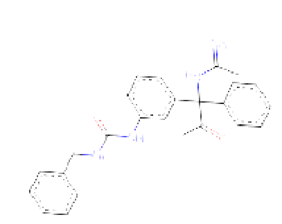 CC(=N)NC(C(C)=O)(c1ccccc1)c1cccc(NC(=O)NCc2ccccc2)c1